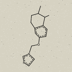 CC1CCc2cc(OCn3ccnc3)ccc2C1C